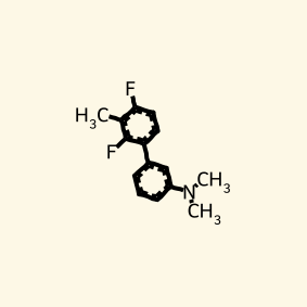 Cc1c(F)ccc(-c2cccc(N(C)C)c2)c1F